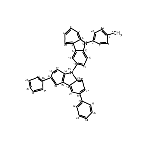 Cc1ccc(-n2c3ccccc3c3cc(-n4c5ccc(-c6ccccc6)cc5c5cc(-c6ccccc6)ccc54)ccc32)cc1